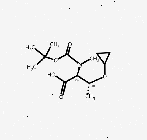 C[C@@H](OC1CC1)[C@@H](C(=O)O)N(C)C(=O)OC(C)(C)C